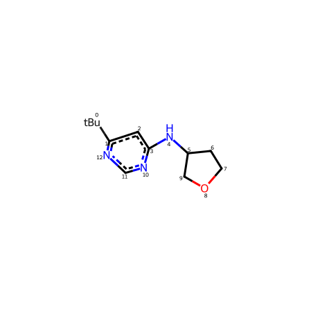 CC(C)(C)c1cc(NC2CCOC2)ncn1